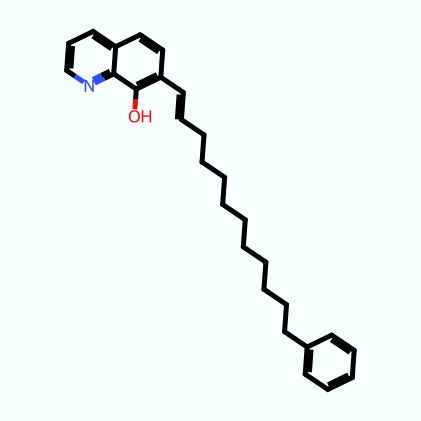 Oc1c(C=CCCCCCCCCCCc2ccccc2)ccc2cccnc12